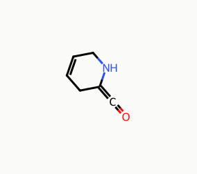 O=C=C1CC=CCN1